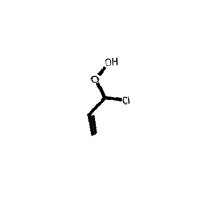 C=CC(Cl)OO